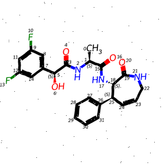 C[C@H](NC(=O)[C@@H](O)c1cc(F)cc(F)c1)C(=O)N[C@@H]1C(=O)NCC=C[C@H]1c1ccccc1